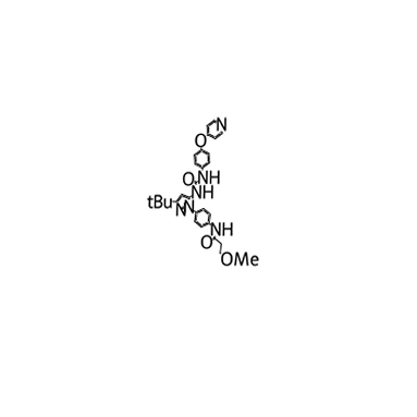 COCCC(=O)Nc1ccc(-n2nc(C(C)(C)C)cc2NC(=O)Nc2ccc(Oc3ccncc3)cc2)cc1